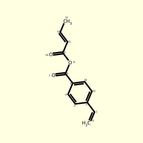 C=Cc1ccc(C(=O)OC(=O)/C=C/C)cc1